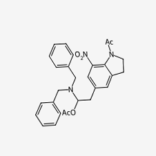 CC(=O)OC(Cc1cc2c(c([N+](=O)[O-])c1)N(C(C)=O)CC2)N(Cc1ccccc1)Cc1ccccc1